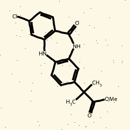 COC(=O)C(C)(C)c1ccc2c(c1)NC(=O)c1ccc(Cl)cc1N2